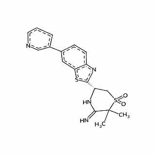 CC1(C)C(=N)N[C@H](c2nc3ccc(-c4cccnc4)cc3s2)CS1(=O)=O